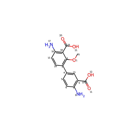 COc1c(-c2ccc(N)c(C(=O)O)c2)ccc(N)c1C(=O)O